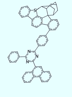 C[Si]12c3ccccc3-c3ccc4c(c31)C1(c3cccc(-c5ccc(-c6nc(-c7ccccc7)nc(-c7cc8ccccc8c8ccccc78)n6)cc5)c3-4)C3CC4CC(C3)C2C1C4